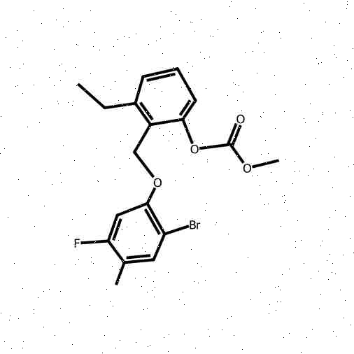 CCc1cccc(OC(=O)OC)c1COc1cc(F)c(C)cc1Br